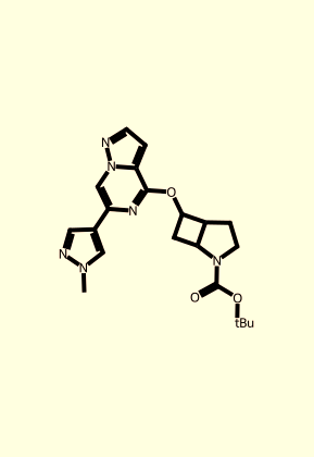 Cn1cc(-c2cn3nccc3c(OC3CC4C3CCN4C(=O)OC(C)(C)C)n2)cn1